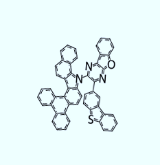 c1ccc2c(c1)ccc1c3c4c5ccccc5c5ccccc5c4ccc3n(-c3nc4c(nc3-c3ccc5sc6ccccc6c5c3)oc3ccccc34)c21